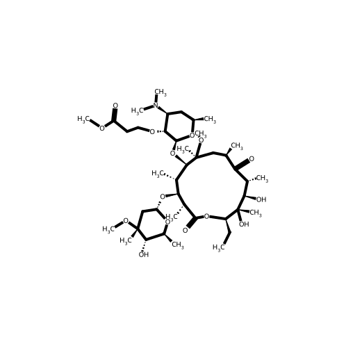 CC[C@H]1OC(=O)[C@H](C)[C@@H](O[C@H]2C[C@@](C)(OC)[C@@H](O)[C@H](C)O2)[C@H](C)[C@@H](O[C@@H]2O[C@H](C)C[C@H](N(C)C)[C@H]2OCCC(=O)OC)[C@@](C)(OC)C[C@@H](C)C(=O)[C@H](C)[C@@H](O)[C@]1(C)O